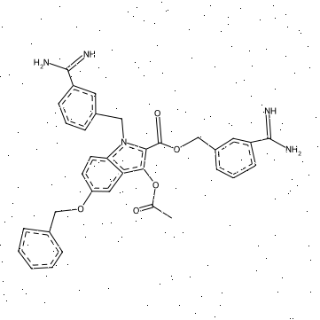 CC(=O)Oc1c(C(=O)OCc2cccc(C(=N)N)c2)n(Cc2cccc(C(=N)N)c2)c2ccc(OCc3ccccc3)cc12